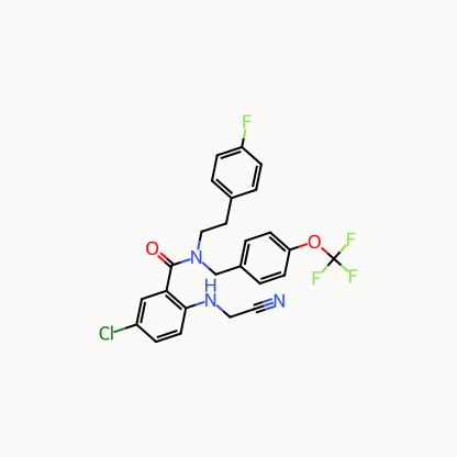 N#CCNc1ccc(Cl)cc1C(=O)N(CCc1ccc(F)cc1)Cc1ccc(OC(F)(F)F)cc1